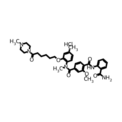 COc1cc(C(=O)N(C)c2ccc(C)cc2OCCCCCC(=O)N2CCN(C)CC2)ccc1C(=O)Nc1ccccc1C(N)=O.Cl